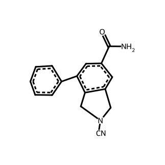 N#CN1Cc2cc(C(N)=O)cc(-c3ccccc3)c2C1